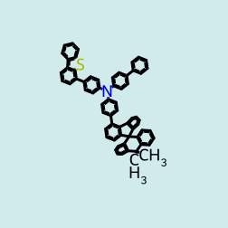 CC1(C)c2ccccc2C2(c3ccccc3-c3c(-c4ccc(N(c5ccc(-c6ccccc6)cc5)c5ccc(-c6cccc7c6sc6ccccc67)cc5)cc4)cccc32)c2ccccc21